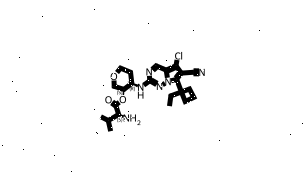 CCC1(c2c(C#N)c(Cl)c3cnc(N[C@@H]4CCOC[C@H]4OC(=O)[C@@H](N)C(C)C)nn23)CCC1